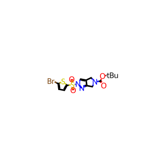 CC(C)(C)OC(=O)N1Cc2cn(S(=O)(=O)c3ccc(Br)s3)nc2C1